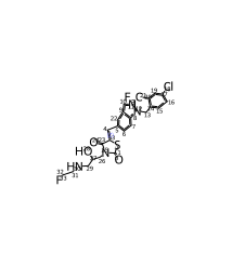 O=C1S/C(=C\c2ccc3c(cnn3Cc3ccc(Cl)cc3C(F)(F)F)c2)C(=O)N1CC(O)CNCCF